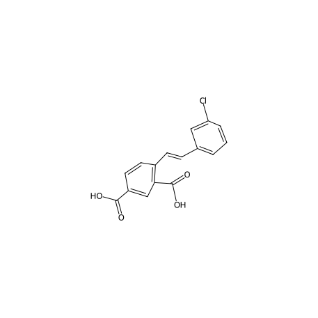 O=C(O)c1ccc(C=Cc2cccc(Cl)c2)c(C(=O)O)c1